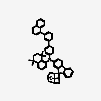 CC1(C)CCC(C)(C)c2c(N(c3ccc(-c4cccc(-c5cccc6ccccc56)c4)cc3)c3ccc4c(c3)C3(c5ccccc5-4)C4CC5CC6CC3C64C5)cccc21